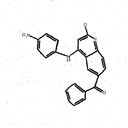 O=C(c1ccccc1)c1ccc2nc(Cl)cc(Nc3ccc([N+](=O)[O-])cc3)c2c1